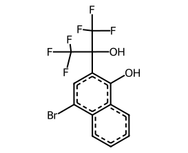 Oc1c(C(O)(C(F)(F)F)C(F)(F)F)cc(Br)c2ccccc12